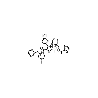 CC(OC[C@]1(O)CCCC[C@H]1n1cnc(C(=O)N2CCNC[C@H]2Cc2ccccc2)c1-c1ccccc1)c1nccs1.Cl